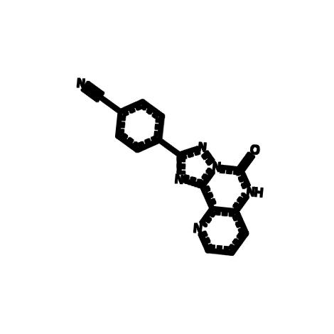 N#Cc1ccc(-c2nc3c4ncccc4[nH]c(=O)n3n2)cc1